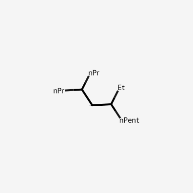 CCCCCC([CH]C(CCC)CCC)CC